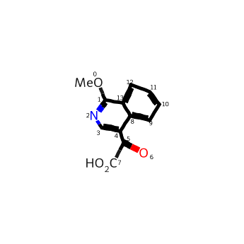 COc1ncc(C(=O)C(=O)O)c2ccccc12